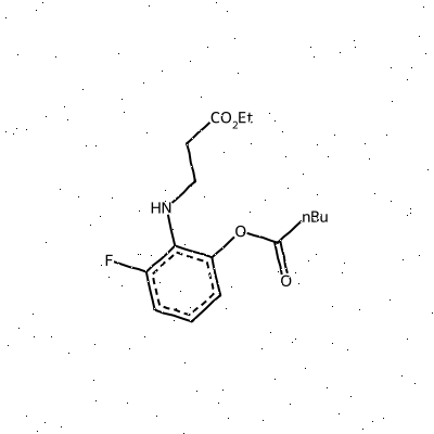 CCCCC(=O)Oc1cccc(F)c1NCCC(=O)OCC